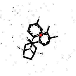 Cc1ccc(C(=O)N2[C@@H]3CC[C@H]2C[C@@H](c2ccc(F)cc2)C3)cc1C